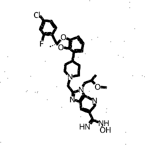 COC(C)Cn1c(CN2CCC(c3cccc4c3O[C@@](C)(c3ccc(Cl)cc3F)O4)CC2)nc2cc(C(=N)NO)cnc21